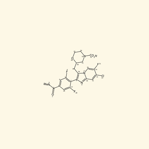 CNC(=O)c1cc(F)c(-c2nc3cc(Cl)c(F)cn3c2CC2CN(C(=O)O)CCO2)c(F)c1